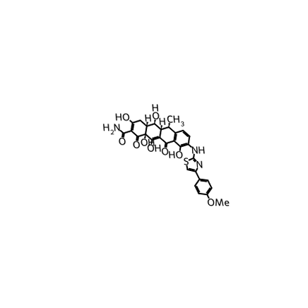 COc1ccc(-c2csc(Nc3ccc4c(c3O)C(=O)C3=C(O)[C@]5(O)C(=O)C(C(N)=O)=C(O)C[C@@H]5[C@@H](O)[C@@H]3[C@H]4C)n2)cc1